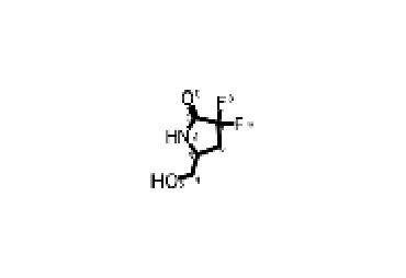 O=C1NC(CO)CC1(F)F